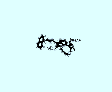 CC(=O)NCc1nn(C)c2c1-c1cccc3c(CCCOc4cccc5ccccc45)c(C(=O)O)n(c13)CCCCOC2